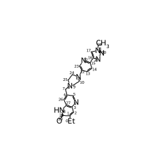 CCc1cc2ncc(CN3CCN(c4ccc(-c5cn(C)nn5)nc4)CC3)cc2[nH]c1=O